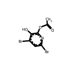 CC(=O)Oc1nc(Br)cc(Br)c1O